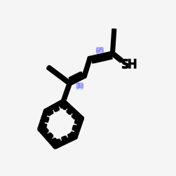 C/C(S)=C/C=C(\C)c1ccccc1